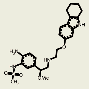 COC(CNCCOc1ccc2c3c([nH]c2c1)CCCC3)c1ccc(N)c(NS(C)(=O)=O)c1